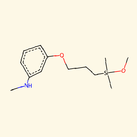 CNc1cccc(OCCC[Si](C)(C)OC)c1